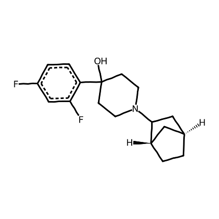 OC1(c2ccc(F)cc2F)CCN(C2C[C@H]3CC[C@H]2C3)CC1